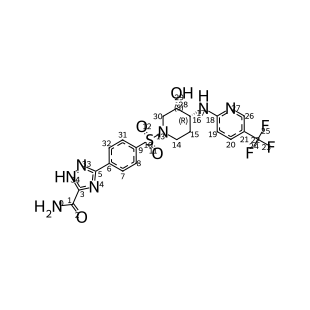 NC(=O)c1nc(-c2ccc(S(=O)(=O)N3CC[C@@H](Nc4ccc(C(F)(F)F)cn4)[C@@H](O)C3)cc2)n[nH]1